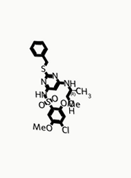 COc1cc(S(=O)(=O)Nc2cc(N[C@H](C)CO)nc(SCc3ccccc3)n2)c(OC)cc1Cl